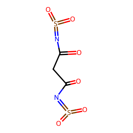 O=C(CC(=O)N=S(=O)=O)N=S(=O)=O